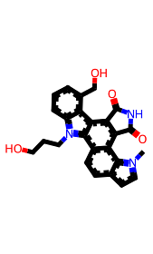 Cn1ccc2ccc3c(c4c(c5c6c(CO)cccc6n(CCCO)c35)C(=O)NC4=O)c21